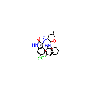 CC(C)CC(N[C@]1(Cc2cccc(Cl)c2)C(=O)Nc2cc(Cl)ccc21)C(=O)NC1CCCCC1